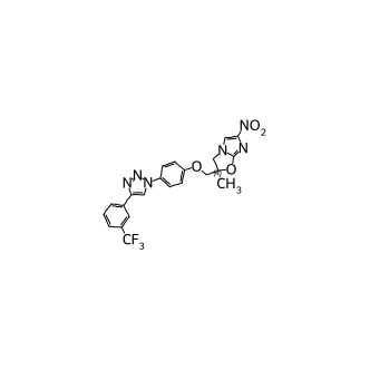 C[C@]1(COc2ccc(-n3cc(-c4cccc(C(F)(F)F)c4)nn3)cc2)Cn2cc([N+](=O)[O-])nc2O1